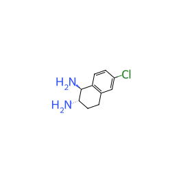 N[C@H]1CCc2cc(Cl)ccc2[C@@H]1N